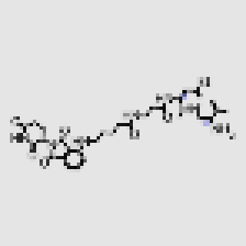 C=C(/C=C(/NC(=O)CCNC(=O)CCCCNc1cccc2c1C(=O)N(C1CCC(=O)NC1=O)C2=O)N(C)N(C)/C=C(/N)C(=C)C)CC